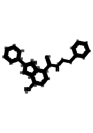 O=C(NCCc1ccccc1)c1ccc(O)c2nc(-c3ccccc3)[nH]c12